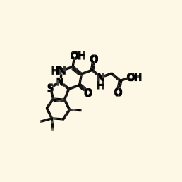 CC1CC(C)(C)CC2=C1C1C(=O)C(C(=O)NCC(=O)O)=C(O)NN1S2